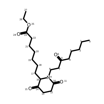 CCCCCC(=O)CCN1C(=O)CCC(=O)C1CCCCCCC(=O)OCC